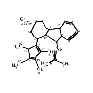 C[C](C)=[Zr+2][CH]1C2C=CC=CC2C2CCCC(C3=C(C)C(C)=C(C)C3C)C21.[Cl-].[Cl-]